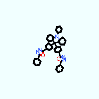 c1ccc(-c2nnc(-c3ccc(C4(c5ccc(-c6nnc(-c7ccccc7)o6)cc5)c5ccccc5N(c5ccccc5)c5ccccc54)cc3)o2)cc1